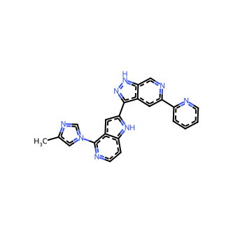 Cc1cn(-c2nccc3[nH]c(-c4n[nH]c5cnc(-c6ccccn6)cc45)cc23)cn1